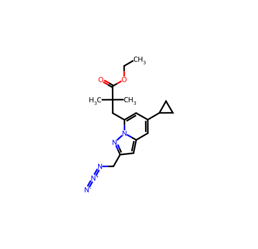 CCOC(=O)C(C)(C)Cc1cc(C2CC2)cc2cc(CN=[N+]=[N-])nn12